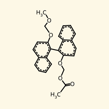 COCOc1ccc2ccccc2c1-c1c(OCOC(C)=O)ccc2ccccc12